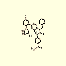 NC(=O)c1ccc(NC(=O)[C@H](Cc2ccccc2)n2cnc(-c3cc(Cl)ccc3N3C=C(Cl)NN3)cc2=O)nc1